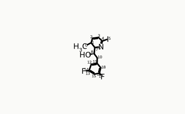 CC1C=CC(I)=NC1[C@H](O)Cc1cc(F)cc(F)c1